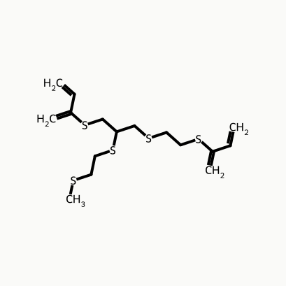 C=CC(=C)SCCSCC(CSC(=C)C=C)SCCSC